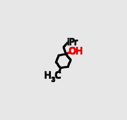 CC(C)C[C@]1(O)CC[C@@H](C)CC1